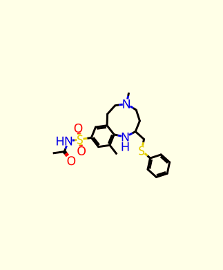 CC(=O)NS(=O)(=O)c1cc(C)c2c(c1)CCN(C)CCC(CSc1ccccc1)N2